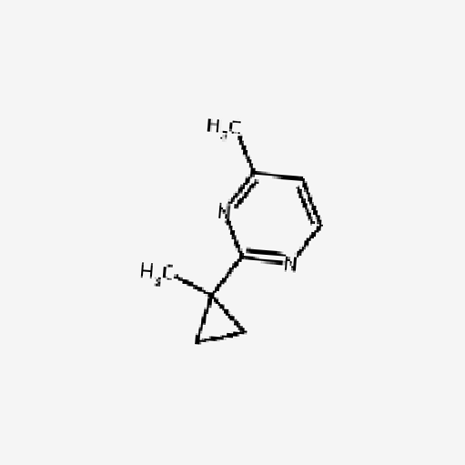 Cc1ccnc(C2(C)CC2)n1